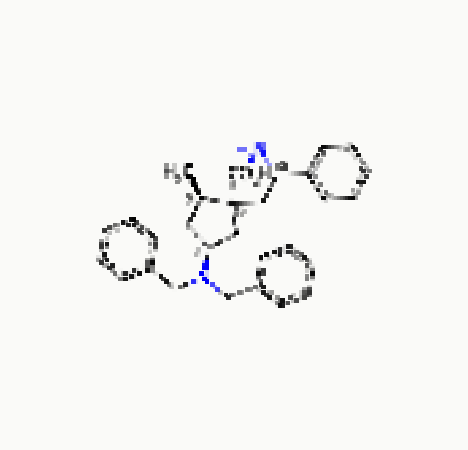 C[C@@H]1C[C@H](N(Cc2ccccc2)Cc2ccccc2)C[C@@]1(C[C@H](N)c1ccccc1)C(=O)O